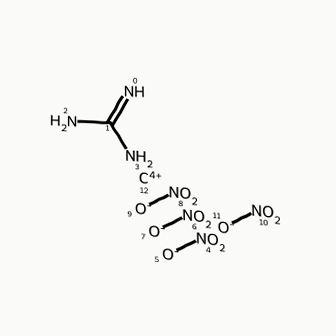 N=C(N)N.O=[N+]([O-])[O-].O=[N+]([O-])[O-].O=[N+]([O-])[O-].O=[N+]([O-])[O-].[C+4]